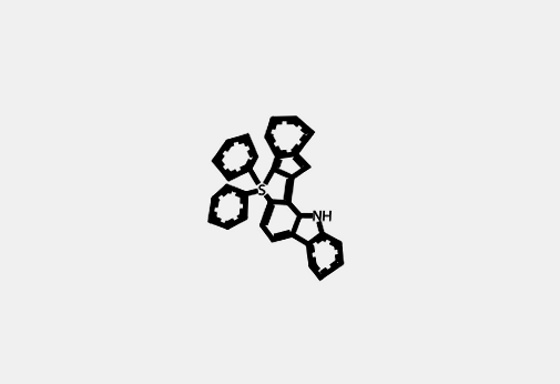 C1=C2c3ccccc3NC2C2=C3C=c4ccccc4=C3S(c3ccccc3)(c3ccccc3)C2=C1